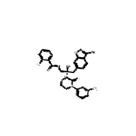 Nc1noc2cc(CC(O)(CNC(=O)c3ccccc3O)[C@H]3OCCN(c4cccc(C(F)(F)F)n4)C3=O)ccc12